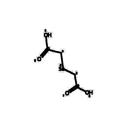 O=C(O)C[Se]CC(=O)O